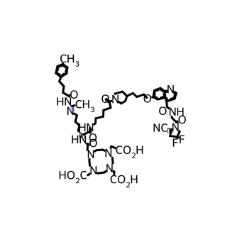 C/C(=N\CCCC[C@H](NC(=O)CN1CCN(CC(=O)O)CCN(CC(=O)O)CCN(CC(=O)O)CC1)C(=O)NCCCCCC(=O)N1CCC(CCCOc2ccc3nccc(C(=O)NCC(=O)N4CC(F)(F)C[C@@H]4C#N)c3c2)CC1)NC(=O)CCCc1ccc(C)cc1